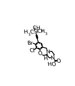 C[Si](C)(C)C#Cc1cc2c(c(Cl)c1Br)OC[C@H]1CN(C(=O)O)CCN1C2